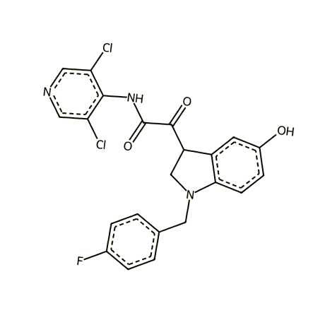 O=C(Nc1c(Cl)cncc1Cl)C(=O)C1CN(Cc2ccc(F)cc2)c2ccc(O)cc21